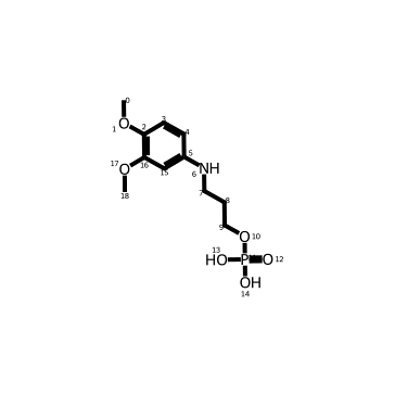 COc1ccc(NCCCOP(=O)(O)O)cc1OC